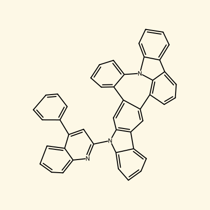 c1ccc(-c2cc(-n3c4ccccc4c4cc5c(cc43)-c3ccccc3-n3c4ccccc4c4cccc-5c43)nc3ccccc23)cc1